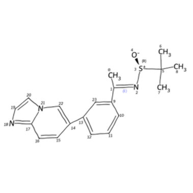 C/C(=N\[S@@+]([O-])C(C)(C)C)c1cccc(-c2ccc3nccn3c2)c1